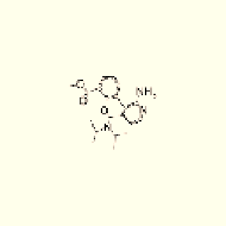 COC(=O)c1cccc(-c2c(C(=O)N(C(C)C)C(C)C)ccnc2N)c1